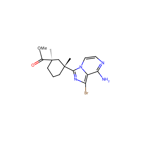 COC(=O)[C@]1(C)CCC[C@@](C)(c2nc(Br)c3c(N)nccn23)C1